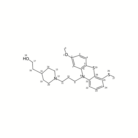 COc1ccc2c(c1)N(CCCN1CCC(CCO)CC1)c1cccc(SC)c1S2